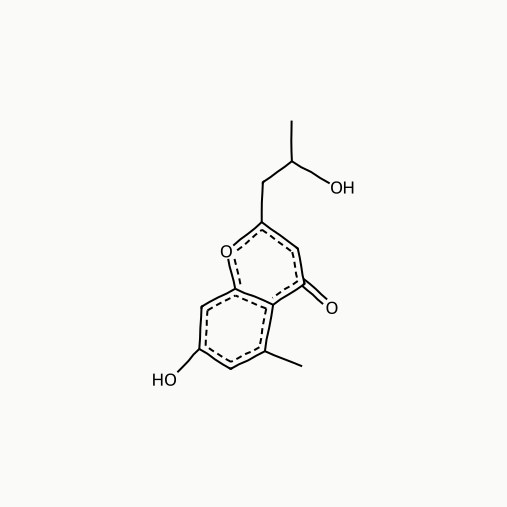 Cc1cc(O)cc2oc(CC(C)O)cc(=O)c12